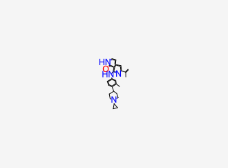 C=C(C)c1cc2cc[nH]c(=O)c2c(Nc2ccc(C3CCN(C4CC4)CC3)c(C)c2)n1